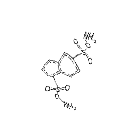 NOS(=O)(=O)c1ccc2c(S(=O)(=O)ON)cccc2c1